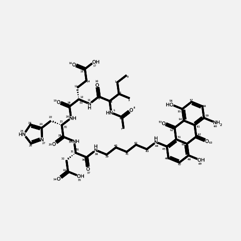 CCC(C)C(NC(C)=O)C(=O)N[C@@H](CCC(=O)O)C(=O)N[C@@H](Cc1c[nH]cn1)C(=O)N[C@@H](CC(=O)O)C(=O)NCCCCCNc1ccc(O)c2c1C(=O)c1c(O)ccc(N)c1C2=O